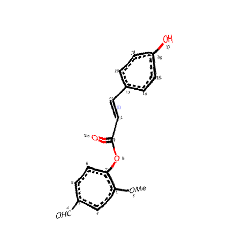 COc1cc(C=O)ccc1OC(=O)/C=C/c1ccc(O)cc1